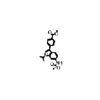 COC(=O)c1ccc(-c2cn(C(C)C)c3cc(NS(C)(=O)=O)ccc23)cc1